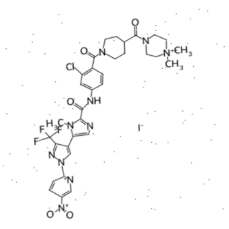 Cn1c(-c2cn(-c3ccc([N+](=O)[O-])cn3)nc2C(F)(F)F)cnc1C(=O)Nc1ccc(C(=O)N2CCC(C(=O)N3CC[N+](C)(C)CC3)CC2)c(Cl)c1.[I-]